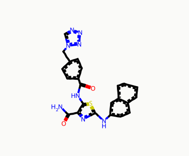 NC(=O)c1nc(Nc2ccc3ccccc3c2)sc1NC(=O)c1ccc(Cn2cnnn2)cc1